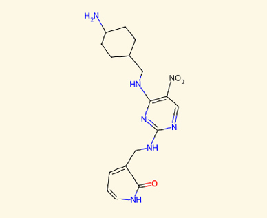 NC1CCC(CNc2nc(NCc3ccc[nH]c3=O)ncc2[N+](=O)[O-])CC1